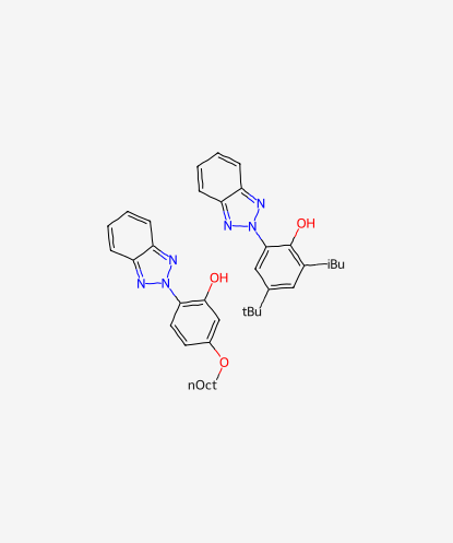 CCC(C)c1cc(C(C)(C)C)cc(-n2nc3ccccc3n2)c1O.CCCCCCCCOc1ccc(-n2nc3ccccc3n2)c(O)c1